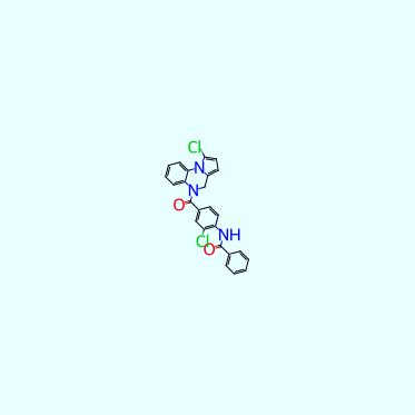 O=C(Nc1ccc(C(=O)N2Cc3ccc(Cl)n3-c3ccccc32)cc1Cl)c1ccccc1